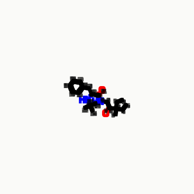 CCC(C)(CC)C(=O)CNC(=O)[C@H](Cc1ccccc1)NC(C)(C)C